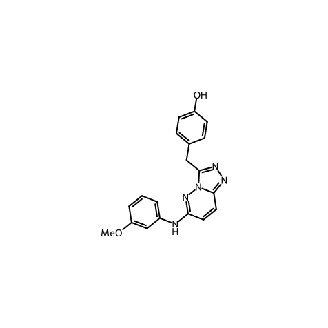 COc1cccc(Nc2ccc3nnc(Cc4ccc(O)cc4)n3n2)c1